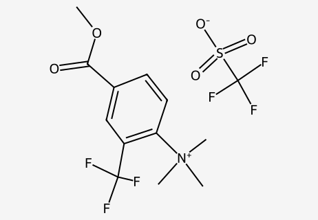 COC(=O)c1ccc([N+](C)(C)C)c(C(F)(F)F)c1.O=S(=O)([O-])C(F)(F)F